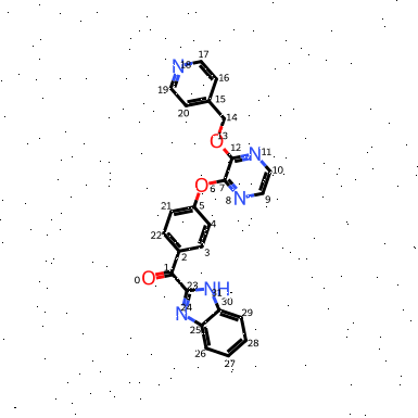 O=C(c1ccc(Oc2nccnc2OCc2ccncc2)cc1)c1nc2ccccc2[nH]1